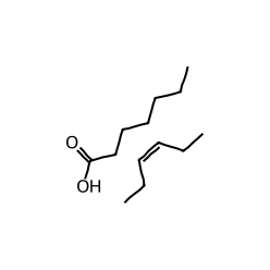 CC/C=C\CC.CCCCCCC(=O)O